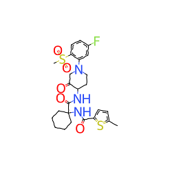 Cc1ccc(C(=O)NC2(C(=O)NC3CCN(c4cc(F)ccc4S(C)(=O)=O)CC3=O)CCCCC2)s1